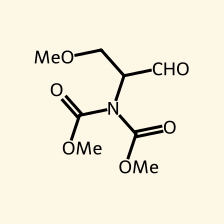 COCC(C=O)N(C(=O)OC)C(=O)OC